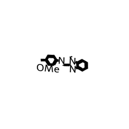 COc1cc(C)ccc1N=Cc1nc2ccccc2n1C